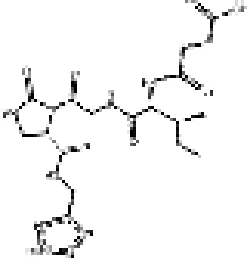 CC[C@H](C)[C@H](NC(=O)CCC(=O)O)C(=O)NCC(=O)N1C(=O)NC[C@H]1C(=O)NCc1nn[nH]n1